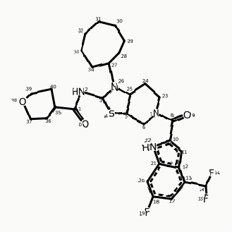 O=C(NC1SC2CN(C(=O)c3cc4c(C(F)F)cc(F)cc4[nH]3)CCC2N1C1CCCCCCC1)C1CCOCC1